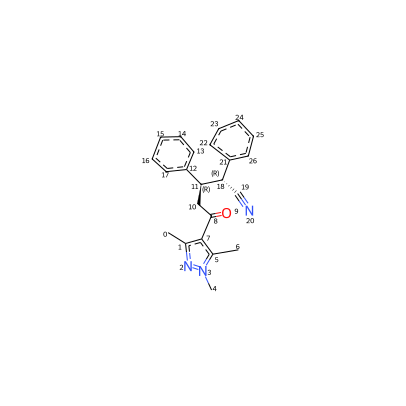 Cc1nn(C)c(C)c1C(=O)C[C@@H](c1ccccc1)[C@@H](C#N)c1ccccc1